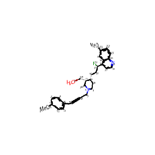 COc1ccc(C#CCN2CC[C@@H](CC[C@@H](F)c3ccnc4ccc(OC)cc34)[C@@H](CO)C2)cc1